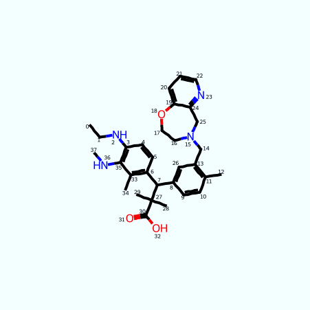 CCNc1ccc(C(c2ccc(C)c(CN3CCOc4cccnc4C3)c2)C(C)(C)C(=O)O)c(C)c1NC